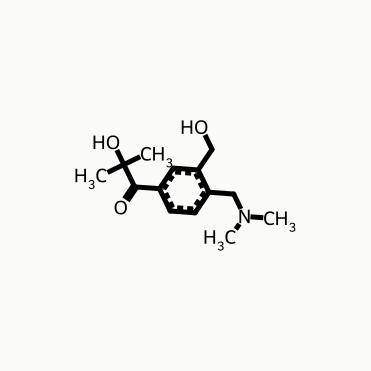 CN(C)Cc1ccc(C(=O)C(C)(C)O)cc1CO